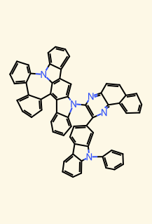 c1ccc(-n2c3ccccc3c3ccc(-c4nc5c(ccc6ccccc65)nc4-n4c5ccccc5c5c6c7c(cc54)c4ccccc4n7-c4ccccc4-c4ccccc4-6)cc32)cc1